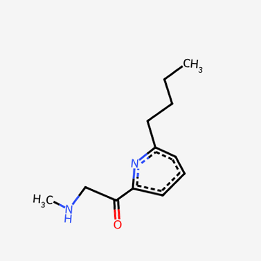 CCCCc1cccc(C(=O)CNC)n1